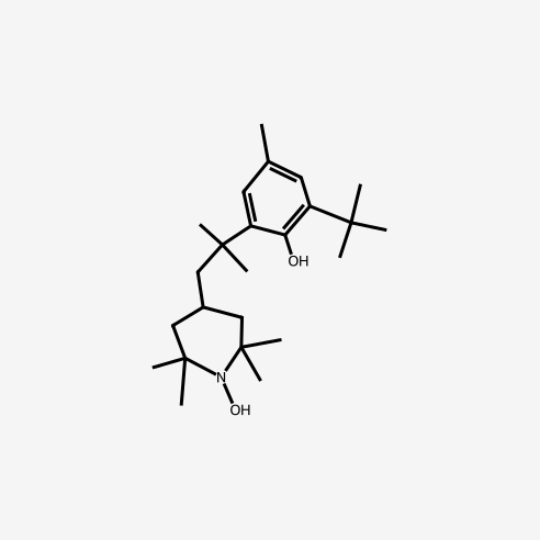 Cc1cc(C(C)(C)C)c(O)c(C(C)(C)CC2CC(C)(C)N(O)C(C)(C)C2)c1